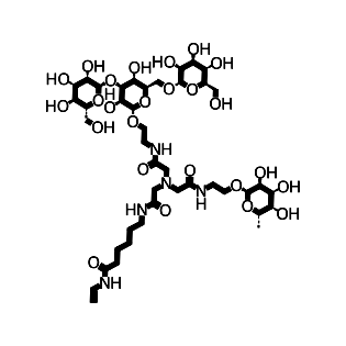 C=CNC(=O)CCCCCNC(=O)CN(CC(=O)NCCO[C@@H]1O[C@@H](C)[C@@H](O)[C@@H](O)[C@@H]1O)CC(=O)NCCO[C@H]1O[C@H](CO[C@H]2O[C@H](CO)[C@@H](O)[C@H](O)[C@@H]2O)[C@@H](O)[C@H](O[C@H]2O[C@H](CO)[C@@H](O)[C@H](O)[C@@H]2O)[C@@H]1O